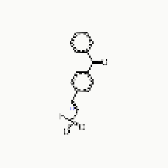 O=C(c1ccccc1)c1ccc(/C=C/S(=O)(=O)F)cc1